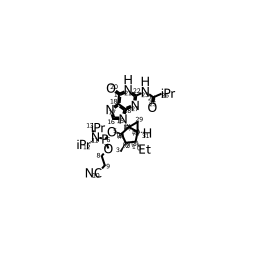 CC[C@@H]1[C@@H](C)[C@@H](OP(OCCC#N)N(C(C)C)C(C)C)[C@@]2(n3cnc4c(=O)[nH]c(NC(=O)C(C)C)nc43)C[C@@H]12